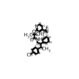 CC(c1ccc(Cl)cc1)C(CNC(=O)C(C)(C)Oc1cc(C(F)(F)F)ccn1)c1ccccc1